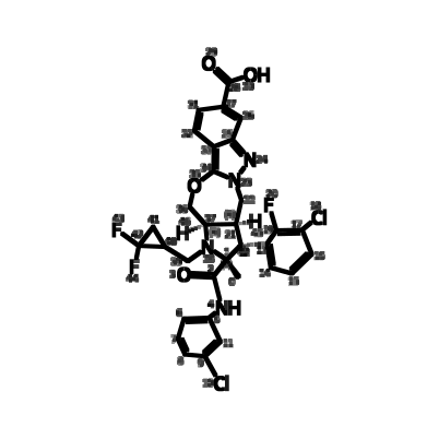 C[C@]1(C(=O)Nc2cccc(Cl)c2)[C@@H](c2cccc(Cl)c2F)[C@@H]2Cn3nc4cc(C(=O)O)ccc4c3OC[C@@H]2N1CC1CC1(F)F